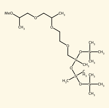 COC(C)COCC(C)OCCOC[Si](C)(O[Si](C)(C)C)O[Si](C)(C)O[Si](C)(C)C